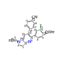 CCCCn1ccc2nc(-c3ccc(OC)c(F)c3)c(-c3ccc(C#N)cc3)cc21